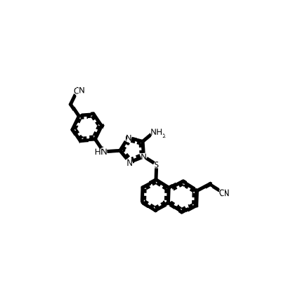 N#CCc1ccc(Nc2nc(N)n(Sc3cccc4ccc(CC#N)cc34)n2)cc1